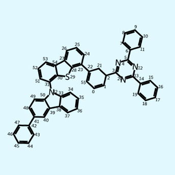 C1=CC(c2nc(-c3ccccc3)nc(-c3ccccc3)n2)CC(c2cccc3c2sc2c(-n4c5ccccc5c5cc(-c6ccccc6)ccc54)cccc23)=C1